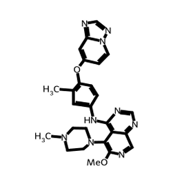 COc1ncc2ncnc(Nc3ccc(Oc4ccn5ncnc5c4)c(C)c3)c2c1N1CCN(C)CC1